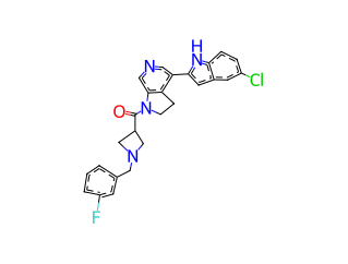 O=C(C1CN(Cc2cccc(F)c2)C1)N1CCc2c(-c3cc4cc(Cl)ccc4[nH]3)cncc21